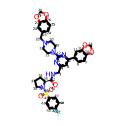 O=C(NCc1cc(-c2ccc3c(c2)OCO3)nc(N2CCN(Cc3ccc4c(c3)OCO4)CC2)n1)[C@@H]1CCCN1S(=O)(=O)c1ccc(F)cc1